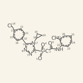 O=C(CS(=O)(=O)c1nnc(-c2ccc(Cl)cc2)n1C1CC1)Nc1ccccc1Cl